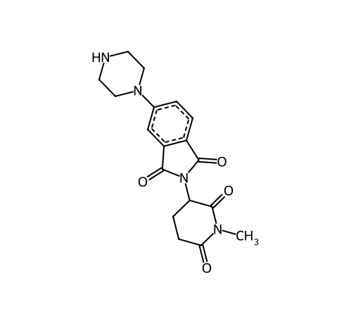 CN1C(=O)CCC(N2C(=O)c3ccc(N4CCNCC4)cc3C2=O)C1=O